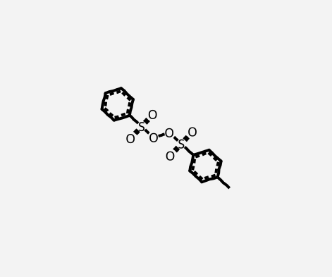 Cc1ccc(S(=O)(=O)OOS(=O)(=O)c2ccccc2)cc1